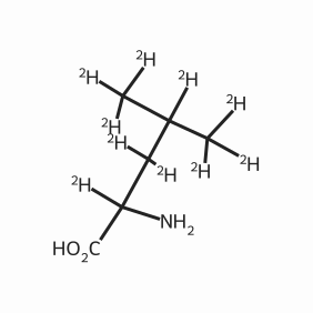 [2H]C([2H])([2H])C([2H])(C([2H])([2H])[2H])C([2H])([2H])C([2H])(N)C(=O)O